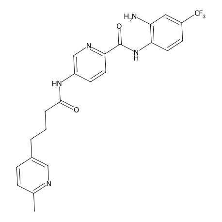 Cc1ccc(CCCC(=O)Nc2ccc(C(=O)Nc3ccc(C(F)(F)F)cc3N)nc2)cn1